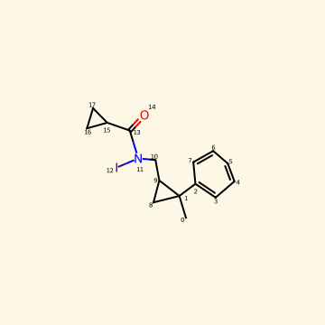 CC1(c2ccccc2)CC1CN(I)C(=O)C1CC1